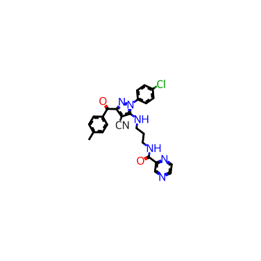 Cc1ccc(C(=O)c2nn(-c3ccc(Cl)cc3)c(NCCCNC(=O)c3cnccn3)c2C#N)cc1